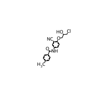 Cc1ccc(C(=O)Nc2ccc(OCC(O)CCl)c(C#N)c2)cc1